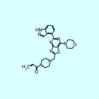 C=CC(=O)N1CCN(Cc2nc3nc(-c4cccc5[nH]ncc45)nc(N4CCOCC4)c3s2)CC1